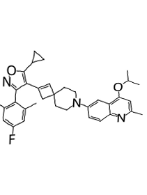 Cc1cc(OC(C)C)c2cc(N3CCC4(C=C(c5c(-c6c(C)cc(F)cc6C)noc5C5CC5)C4)CC3)ccc2n1